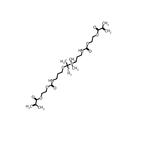 C=C(C)C(=O)OCCOC(=O)NCCCOC(C)(C)S(C)(C)CCCNC(=O)OCCOC(=O)C(=C)C